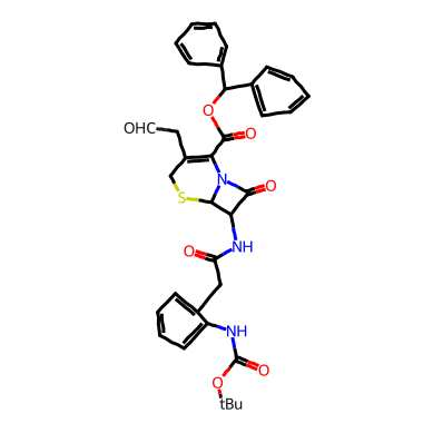 CC(C)(C)OC(=O)Nc1ccccc1CC(=O)NC1C(=O)N2C(C(=O)OC(c3ccccc3)c3ccccc3)=C(CC=O)CSC12